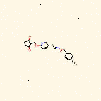 O=C1CCC(=O)C1COc1ccc(CC=NOCc2ccc(C(F)(F)F)cc2)cn1